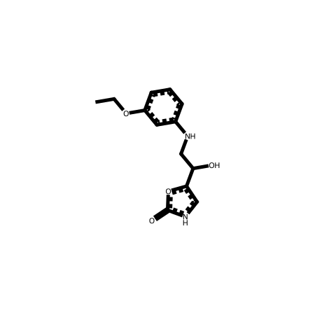 CCOc1cccc(NCC(O)c2c[nH]c(=O)o2)c1